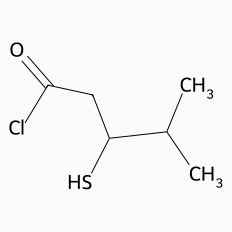 CC(C)C(S)CC(=O)Cl